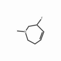 CN1CCC=CC(F)C1